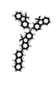 CC1(C)c2ccccc2-c2ccc(N(c3ccc4c(c3)C(C)(C)c3ccccc3-4)c3ccc4c(c3)C(C)(C)c3cc(-c5ccc6cc7ccccc7cc6c5)ccc3-4)cc21